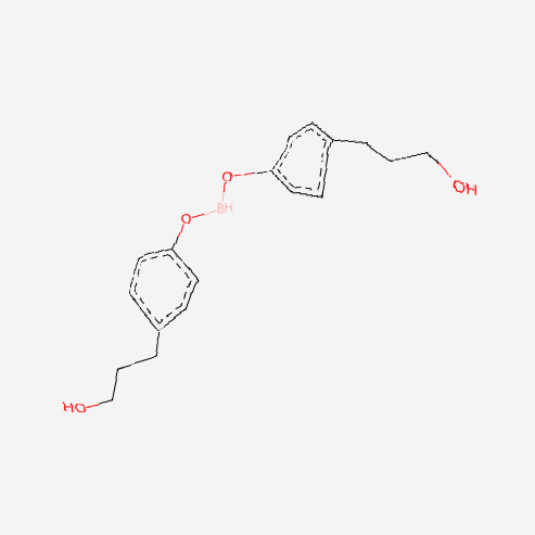 OCCCc1ccc(OBOc2ccc(CCCO)cc2)cc1